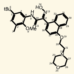 COc1c(C)cc(C(C)(C)C)cc1NC(=O)C(=NO)c1ccc(OCCN2CCOCC2)c2ccccc12